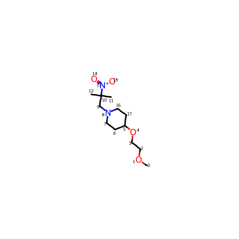 COCCOC1CCN(CC(C)(C)[N+](=O)[O-])CC1